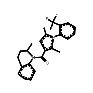 Cc1cc(C(=O)N2c3ccccc3CCC2C)c(C)n1-c1ccccc1C(F)(F)F